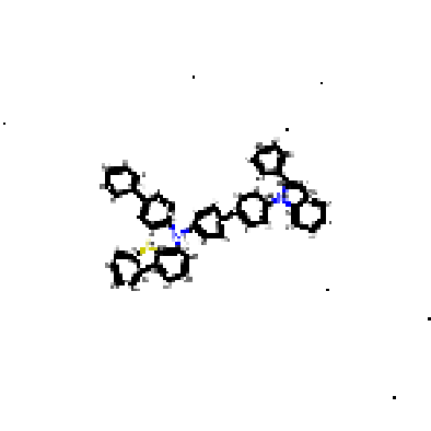 C1=C(c2ccc(N(c3ccc(-c4ccccc4)cc3)c3cccc4c3sc3ccccc34)cc2)CCC(n2c(-c3ccccc3)cc3ccccc32)=C1